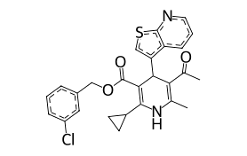 CC(=O)C1=C(C)NC(C2CC2)=C(C(=O)OCc2cccc(Cl)c2)C1c1csc2ncccc12